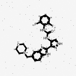 O=C(Nc1c[nH]nc1-c1nc2cc(CN3CCOCC3)ccc2[nH]1)Nc1c(F)cccc1F